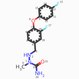 CN(NCc1ccc(Oc2ccc(F)cc2)c(F)c1)C(N)=O